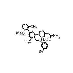 COc1cccc(C)c1-c1nc(C)c(COc2cc(C(C)C)ccc2C)c(N2CCN(CC(N)=O)CC2)n1